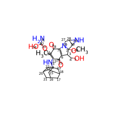 COC12C(CO)C3=C(C(=O)C(C)=C(NC45CC6CC(CC(C6)C4)C5)C3=O)N1CC1NC12.NC(=O)O